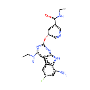 CCNC(=O)c1cncc(Oc2nc(NCC)c3c(n2)[nH]c2c(N)cc(F)cc23)c1